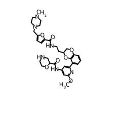 COc1cc(NC(=O)C2CNCCO2)cc(-c2cccc3c2OC(CCNC(=O)c2ccc(CN4CCN(C)CC4)o2)CO3)n1